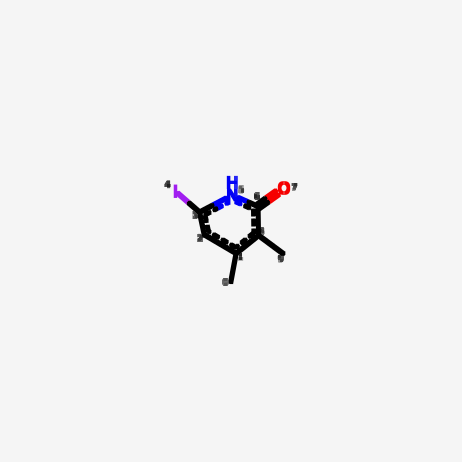 Cc1cc(I)[nH]c(=O)c1C